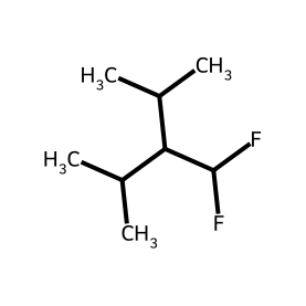 CC(C)C(C(C)C)C(F)F